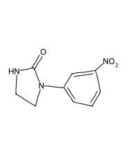 O=C1NCCN1c1cccc([N+](=O)[O-])c1